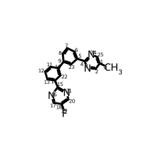 Cc1cnc(-c2cc[c]c(-c3cccc(-c4ncc(F)cn4)c3)c2)nc1